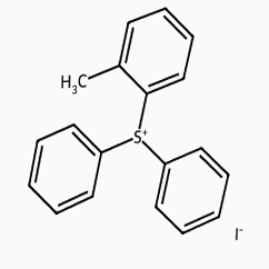 Cc1ccccc1[S+](c1ccccc1)c1ccccc1.[I-]